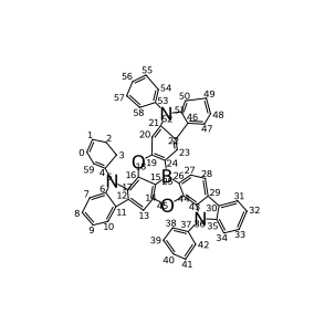 C1=CCCC(n2c3ccccc3c3cc4c5c(c32)Oc2cc3c(cc2B5c2ccc5c6ccccc6n(-c6ccccc6)c5c2O4)c2ccccc2n3-c2ccccc2)=C1